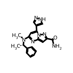 C[C@@H](c1ccccc1)N(C)c1cc(-c2cn[nH]c2)n2nc(C(N)=O)cc2n1